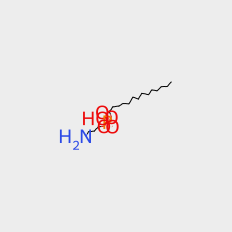 CCCCCCCCCCCCCC(=O)OP(=O)(O)OCCCN